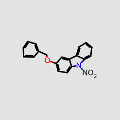 O=[N+]([O-])n1c2ccccc2c2cc(OCc3ccccc3)ccc21